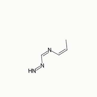 C/C=C\N=C/N=N